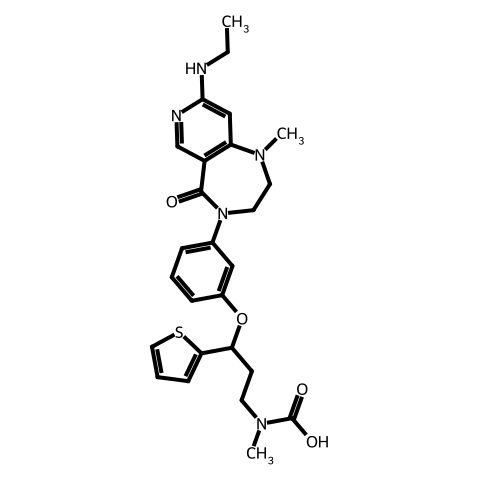 CCNc1cc2c(cn1)C(=O)N(c1cccc(OC(CCN(C)C(=O)O)c3cccs3)c1)CCN2C